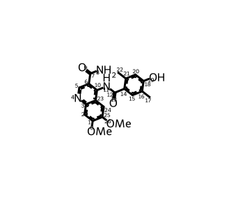 COc1cc2ncc(C(N)=O)c(NC(=O)c3cc(C)c(O)cc3C)c2cc1OC